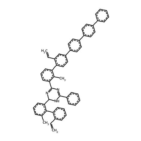 C=Cc1cc(-c2ccc(-c3ccc(-c4ccccc4)cc3)cc2)ccc1-c1cccc(C2=NC(c3cccc(C)c3-c3ccccc3C=C)NC(c3ccccc3)=N2)c1C